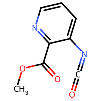 COC(=O)c1ncccc1N=C=O